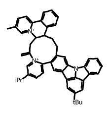 C=C1CC2C(CCc3cc4c(cc3-c3ccc(C(C)C)c[n+]31)c1cc(C(C)(C)C)cc3c5ccccc5n4c31)c1ccccc1-c1ccc(C)c[n+]12